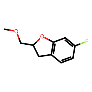 COCC1Cc2ccc(F)cc2O1